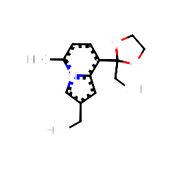 CCc1cc2c(C3(CC)OCCO3)ccc(C)n2c1